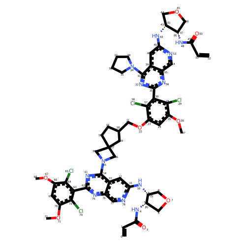 C=CC(=O)N[C@H]1COC[C@H]1Nc1cc2c(N3CC4(CCC(COc5cc(OC)c(Cl)c(-c6nc(N7CCCC7)c7cc(N[C@@H]8COC[C@@H]8NC(=O)C=C)ncc7n6)c5Cl)C4)C3)nc(-c3c(Cl)c(OC)cc(OC)c3Cl)nc2cn1